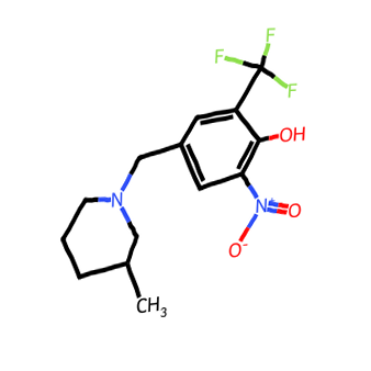 CC1CCCN(Cc2cc([N+](=O)[O-])c(O)c(C(F)(F)F)c2)C1